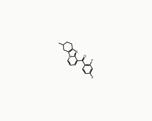 CC1CCc2nc3c(C(=O)c4ccc(F)cc4F)cccn3c2C1